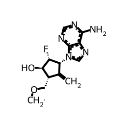 [CH2]OC[C@H]1C(=C)[C@@H](n2cnc3c(N)ncnc32)[C@@H](F)[C@@H]1O